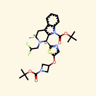 C[C@@H]1Cc2c(n(C(=O)OC(C)(C)C)c3ccccc23)[C@@H](c2ncc(OC3CN(C(=O)OC(C)(C)C)C3)s2)N1CC(F)F